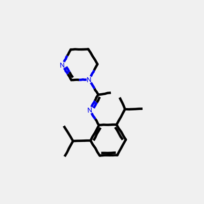 CC(=Nc1c(C(C)C)cccc1C(C)C)N1C=NCCC1